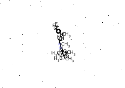 CO[C@@H]1[C@@H](OC)[C@@H](OC)C(O/N=C/C(C)=C/c2cnc(N(C)c3ccc(OC(F)(F)F)cc3)nc2)O[C@H]1C